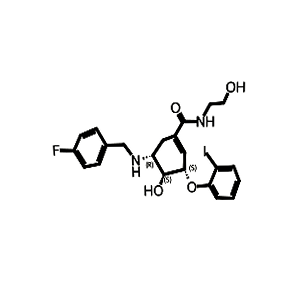 O=C(NCCO)C1=C[C@H](Oc2ccccc2I)[C@@H](O)[C@H](NCc2ccc(F)cc2)C1